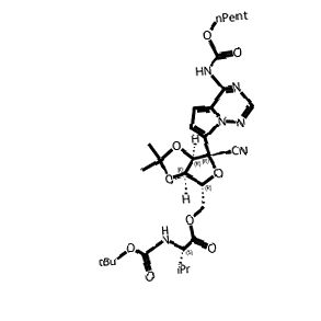 CCCCCOC(=O)Nc1ncnn2c([C@]3(C#N)O[C@H](COC(=O)[C@@H](NC(=O)OC(C)(C)C)C(C)C)[C@H]4OC(C)(C)O[C@H]43)ccc12